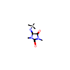 CN1C(=O)C(=N[Si](C)(C)C)N(C)C1=O